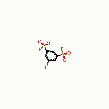 O=S(=O)(F)c1cc(F)cc(S(=O)(=O)F)c1